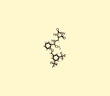 CC(NCC1NC(=O)NC1=O)c1ccccc1OCc1cc(C(F)(F)F)cc(C(F)(F)F)c1